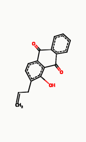 C=CCc1ccc2c(c1O)C(=O)c1ccccc1C2=O